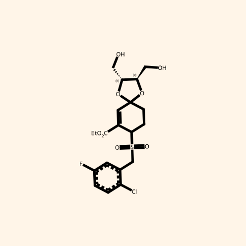 CCOC(=O)C1=CC2(CCC1S(=O)(=O)Cc1cc(F)ccc1Cl)O[C@H](CO)[C@@H](CO)O2